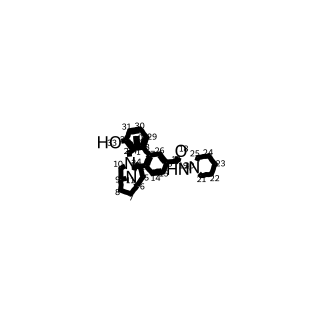 C=CCN1CCC2CCC(C1)N2Cc1ccc(C(=O)NN2CCCCC2)cc1-c1cccc(O)c1